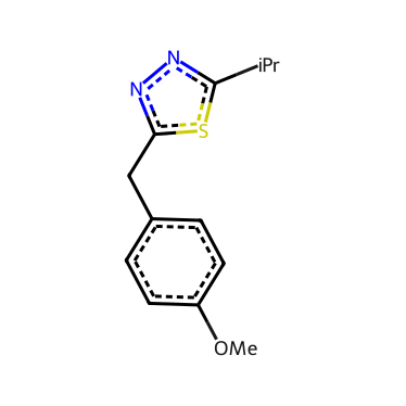 COc1ccc(Cc2nnc(C(C)C)s2)cc1